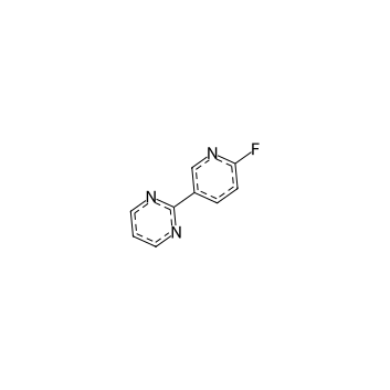 Fc1ccc(-c2ncccn2)cn1